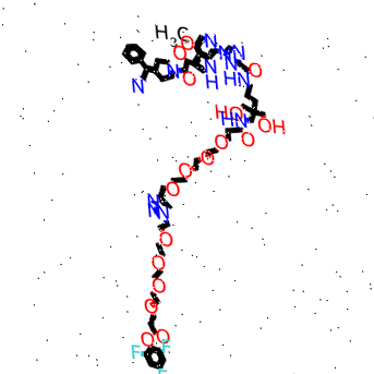 COc1cnc(-n2cnc(C(=O)NCCCC(CO)(CO)CNC(=O)CCOCCOCCOCCOCc3cn(CCOCCOCCOCCOCCC(=O)Oc4c(F)cc(F)cc4F)nn3)n2)c2[nH]cc(C(=O)C(=O)N3CCC(=C(C#N)c4ccccc4)CC3)c12